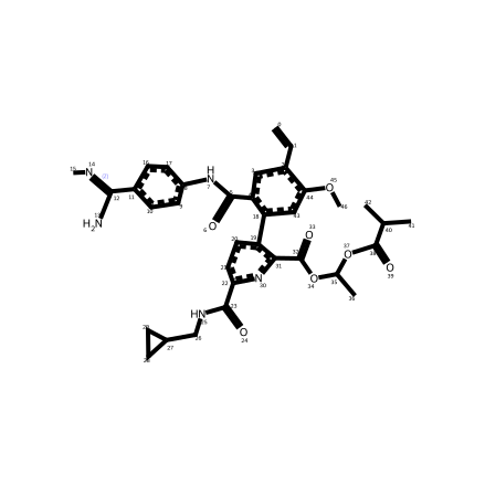 C=Cc1cc(C(=O)Nc2ccc(/C(N)=N/C)cc2)c(-c2ccc(C(=O)NCC3CC3)nc2C(=O)OC(C)OC(=O)C(C)C)cc1OC